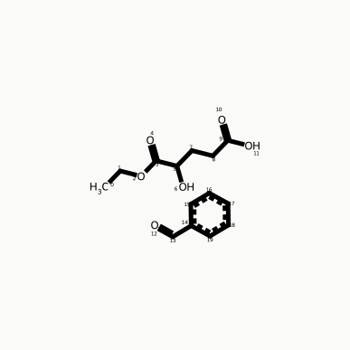 CCOC(=O)C(O)CCC(=O)O.O=Cc1ccccc1